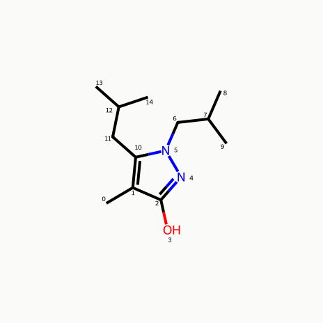 Cc1c(O)nn(CC(C)C)c1CC(C)C